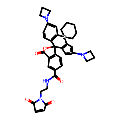 O=C(NCCN1C(=O)C=CC1=O)c1ccc2c(c1)C(=O)OC21c2ccc(N3CCC3)cc2[Si]2(CCCCC2)c2cc(N3CCC3)ccc21